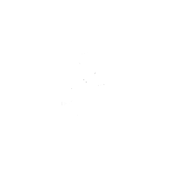 O=C(O)[C@H](Cc1ccccc1)N[C@@H]1O[C@H](CO)[C@@H](O)[C@H]1O